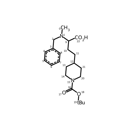 CN(Cc1ccccc1)C(CCC1CCN(C(=O)OC(C)(C)C)CC1)C(=O)O